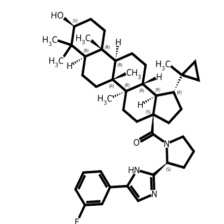 CC1([C@@H]2CC[C@]3(C(=O)N4CCC[C@H]4c4ncc(-c5cccc(F)c5)[nH]4)CC[C@]4(C)[C@H](CC[C@@H]5[C@@]6(C)CC[C@H](O)C(C)(C)[C@@H]6CC[C@]54C)[C@@H]23)CC1